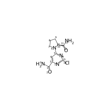 NC(=O)c1cc(N2CCC[C@H]2C(N)=O)nc(Cl)n1